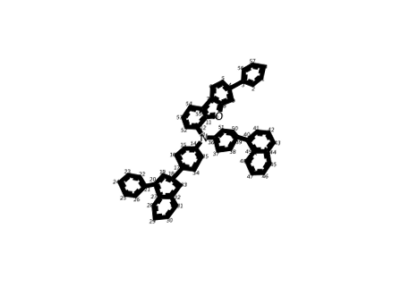 c1ccc(-c2ccc3c(c2)oc2c(N(c4ccc(-c5cc(-c6ccccc6)c6ccccc6c5)cc4)c4ccc(-c5cccc6ccccc56)cc4)cccc23)cc1